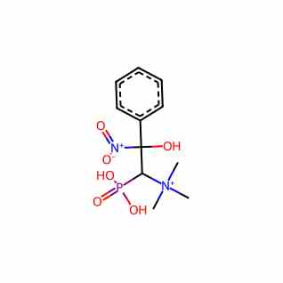 C[N+](C)(C)C(C(O)(c1ccccc1)[N+](=O)[O-])P(=O)(O)O